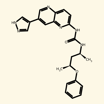 C[C@@H](C[C@H](C)Oc1ccccc1)NC(=O)Nc1ccc2ncc(-c3cn[nH]c3)cc2n1